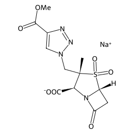 COC(=O)c1cn(C[C@@]2(C)[C@H](C(=O)[O-])N3C(=O)C[C@H]3S2(=O)=O)nn1.[Na+]